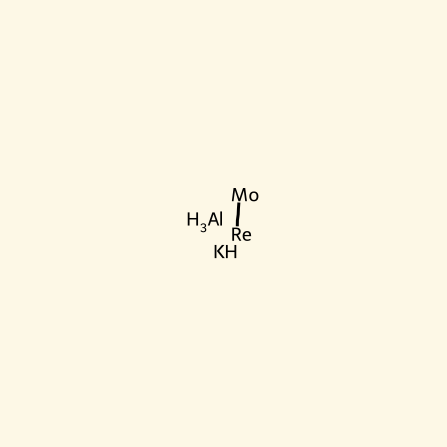 [AlH3].[KH].[Mo][Re]